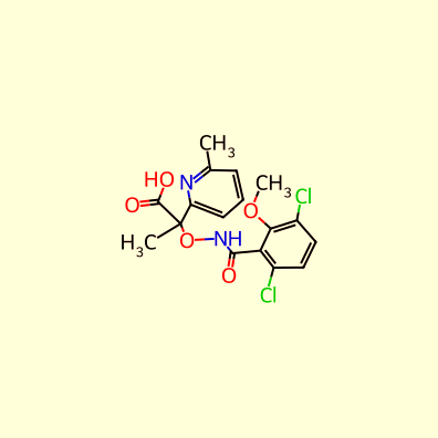 COc1c(Cl)ccc(Cl)c1C(=O)NOC(C)(C(=O)O)c1cccc(C)n1